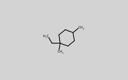 [CH2]C1CCC(C)(CC)CC1